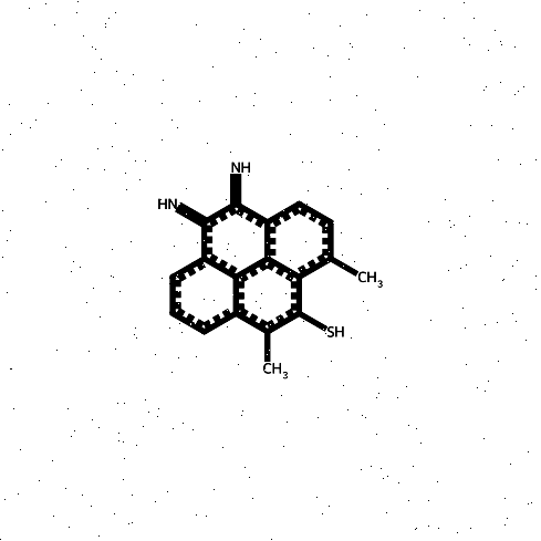 Cc1c(S)c2c(C)ccc3c(=N)c(=N)c4cccc1c4c23